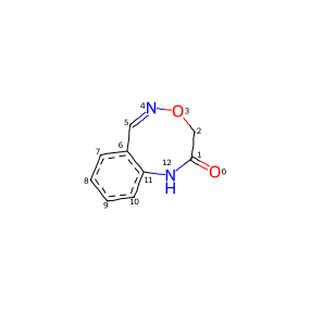 O=C1CO/N=C\c2ccccc2N1